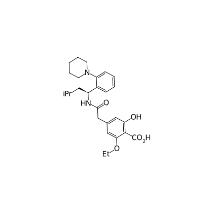 CCOc1cc(CC(=O)N[C@@H](CC(C)C)c2ccccc2N2CCCCC2)cc(O)c1C(=O)O